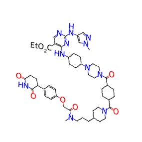 CCOC(=O)c1cnc(Nc2cnn(C)c2)nc1NC1CCC(N2CCN(C(=O)C3CCC(C(=O)N4CCC(CCCN(C)C(=O)COc5ccc(C6CCC(=O)NC6=O)cc5)CC4)CC3)CC2)CC1